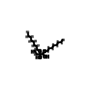 CCCCCCCCOC(O)C(O)(CS)OCCCCCCCC